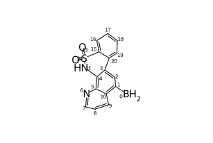 Bc1cc2c(c3ncccc13)NS(=O)(=O)c1ccccc1-2